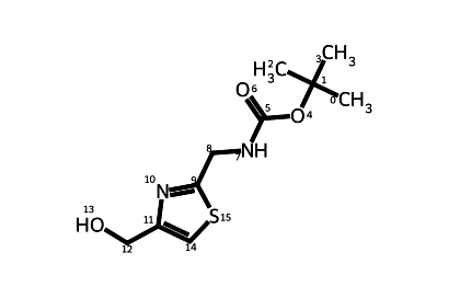 CC(C)(C)OC(=O)NCc1nc(CO)cs1